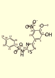 COc1c(O)cc(-c2csc(NS(=O)(=O)c3ccc(C)cc3)n2)cc1[N+](=O)[O-]